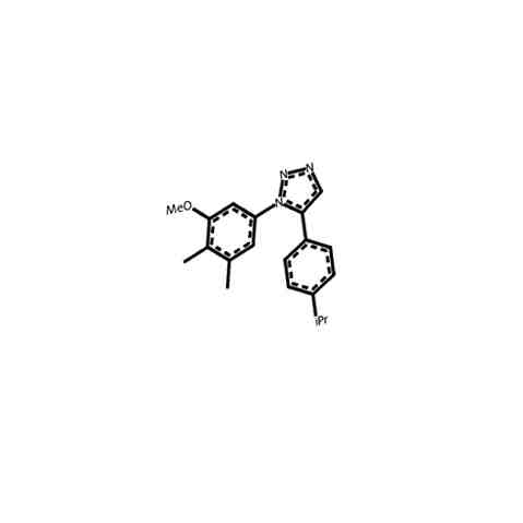 COc1cc(-n2nncc2-c2ccc(C(C)C)cc2)cc(C)c1C